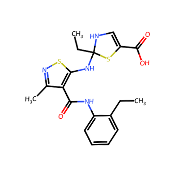 CCc1ccccc1NC(=O)c1c(C)nsc1NC1(CC)NC=C(C(=O)O)S1